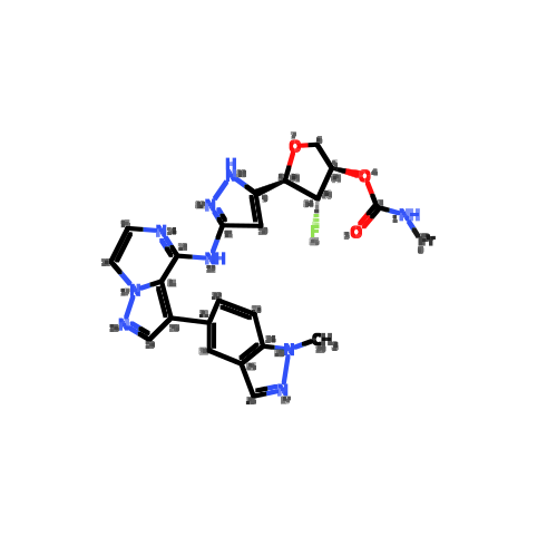 CC(C)NC(=O)O[C@@H]1CO[C@H](c2cc(Nc3nccn4ncc(-c5ccc6c(cnn6C)c5)c34)n[nH]2)[C@H]1F